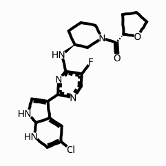 O=C([C@@H]1CCCO1)N1CCC[C@H](Nc2nc(C3=CNC4NC=C(Cl)C=C34)ncc2F)C1